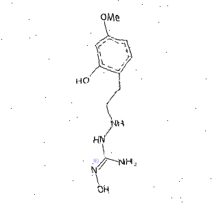 COc1ccc(CCNN/C(N)=N/O)c(O)c1